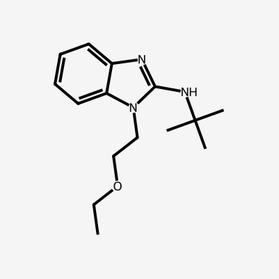 CCOCCn1c(NC(C)(C)C)nc2ccccc21